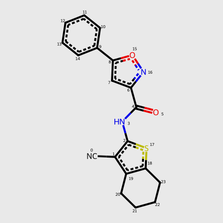 N#Cc1c(NC(=O)c2cc(-c3ccccc3)on2)sc2c1CCCC2